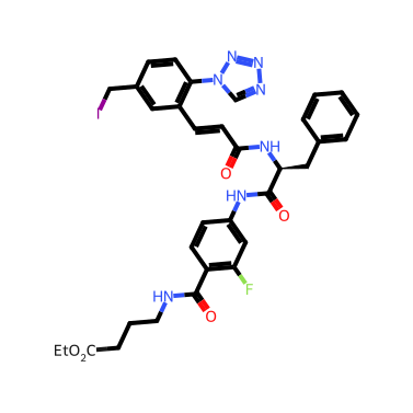 CCOC(=O)CCCNC(=O)c1ccc(NC(=O)[C@H](Cc2ccccc2)NC(=O)/C=C/c2cc(CI)ccc2-n2cnnn2)cc1F